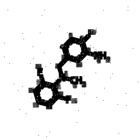 CN(Cc1ccc(F)c(N)c1)c1c(F)cccc1F